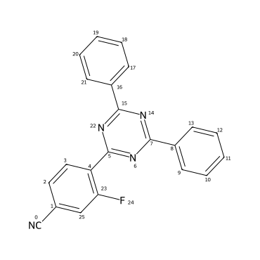 N#Cc1ccc(-c2nc(-c3ccccc3)nc(-c3ccccc3)n2)c(F)c1